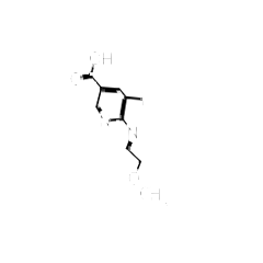 COCC=Nc1ncc(C(=O)O)cc1I